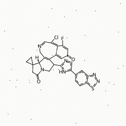 O=C1C=C(F)C2=C(Cl)C=NCC3=C(C2=C1)C(c1ncc(-c2ccc4snnc4c2)[nH]1)CN1C(=O)CC2(CC2)[C@H]31